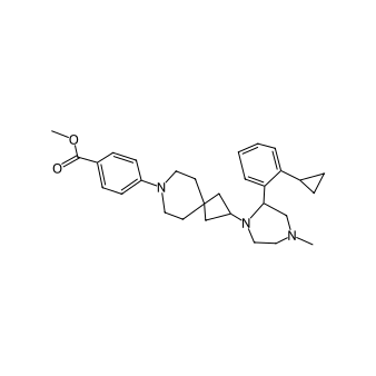 COC(=O)c1ccc(N2CCC3(CC2)CC(N2CCN(C)CC2c2ccccc2C2CC2)C3)cc1